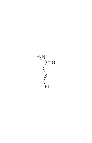 CCC=CCC(N)=O